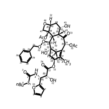 CCCCSC(=O)N[C@@H](c1ccco1)[C@@H](O)C(=O)O[C@H]1C[C@@]2(O)[C@@H](OOCc3ccccc3)[C@H]3[C@@H](C(=O)[C@H](OC(C)=O)C(=C1C)C2(C)C)[C@@H](O)C[C@H]1OC[C@@]31OC(C)=O